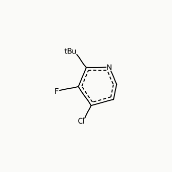 CC(C)(C)c1nccc(Cl)c1F